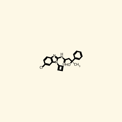 C[C@](O)(CC(=O)Nc1nc2ccc(Cl)cc2n1C1=CC=C1)c1ccccc1